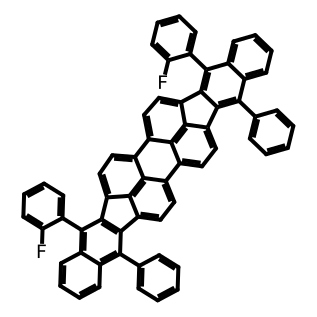 Fc1ccccc1-c1c2c(c(-c3ccccc3)c3ccccc13)-c1ccc3c4ccc5c6c(ccc(c7ccc-2c1c37)c64)-c1c-5c(-c2ccccc2)c2ccccc2c1-c1ccccc1F